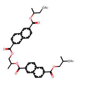 CC(=O)OCC(C)OC(=O)c1ccc2cc(C(=O)OCC(C)OC(=O)c3ccc4cc(C(=O)OCC(C)OC(C)=O)ccc4c3)ccc2c1